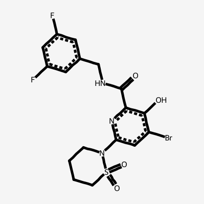 O=C(NCc1cc(F)cc(F)c1)c1nc(N2CCCCS2(=O)=O)cc(Br)c1O